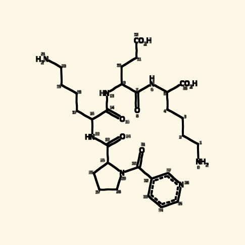 NCCCCC(NC(=O)C(CCC(=O)O)NC(=O)C(CCCCN)NC(=O)C1CCCN1C(=O)c1cccnc1)C(=O)O